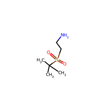 CC(C)(C)S(=O)(=O)CCN